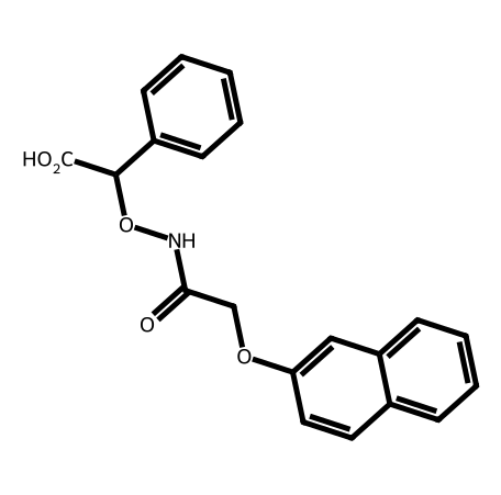 O=C(COc1ccc2ccccc2c1)NOC(C(=O)O)c1ccccc1